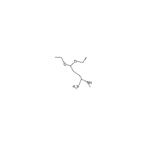 CCOC(CCC([SiH3])NC)OCC